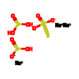 O=S(O)O.O=S([O-])([O-])=S.O=S([O-])O.[Na+].[Na+].[Na+]